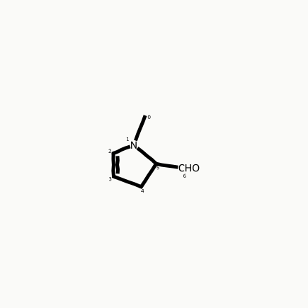 CN1C=CCC1C=O